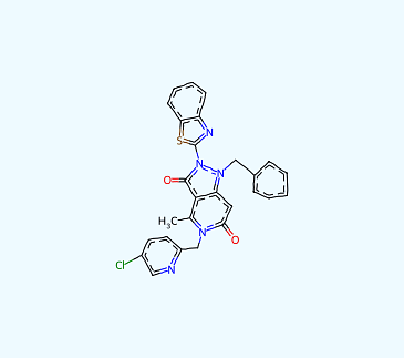 Cc1c2c(=O)n(-c3nc4ccccc4s3)n(Cc3ccccc3)c2cc(=O)n1Cc1ccc(Cl)cn1